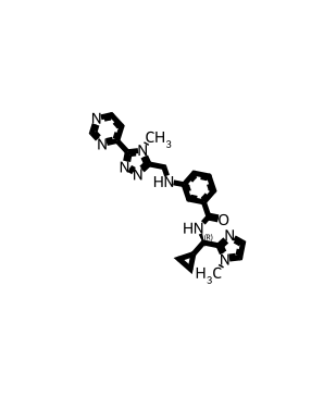 Cn1ccnc1[C@H](NC(=O)c1cccc(NCc2nnc(-c3ccncn3)n2C)c1)C1CC1